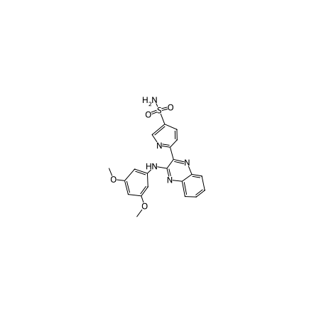 COc1cc(Nc2nc3ccccc3nc2-c2ccc(S(N)(=O)=O)cn2)cc(OC)c1